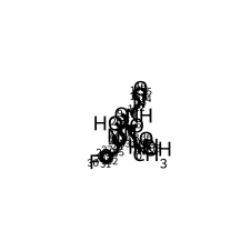 CN(CCn1c(=O)c(C(=O)NCCN2CCOCC2)c(O)c2ncc(Cc3ccc(F)cc3)cc21)C(=O)O.Cl